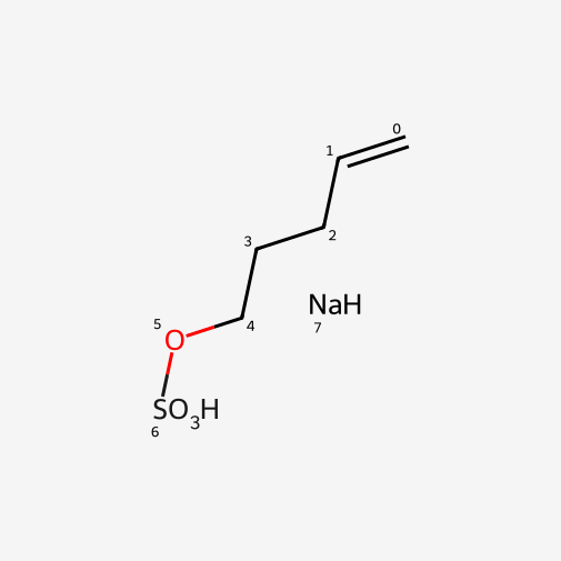 C=CCCCOS(=O)(=O)O.[NaH]